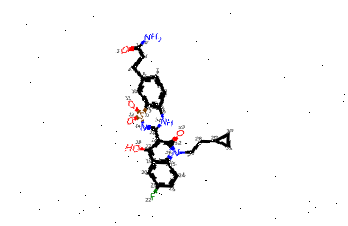 NC(=O)C=Cc1ccc2c(c1)S(=O)(=O)N=C(c1c(O)c3cc(F)ccc3n(CCC3CC3)c1=O)N2